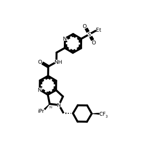 CCS(=O)(=O)c1ccc(CNC(=O)c2cnc3c(c2)CN(C[C@H]2CC[C@H](C(F)(F)F)CC2)[C@H]3C(C)C)nc1